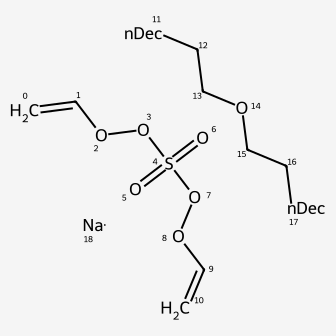 C=COOS(=O)(=O)OOC=C.CCCCCCCCCCCCOCCCCCCCCCCCC.[Na]